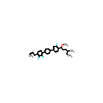 C/C=C\Cc1ccc(-c2ccc(-c3ccc(C(CCC(C)CC)OC)c(F)c3)cc2)c(F)c1F